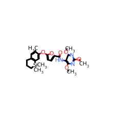 COc1nc(OC)c(NC(=O)c2ccc(Oc3cc4c(cc3C)CCC[Si]4(C)C)o2)c(OC)n1